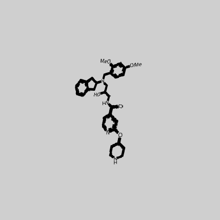 COc1ccc(CN(CC(O)CNC(=O)c2ccnc(OC3CCNCC3)c2)C2Cc3ccccc3C2)c(OC)c1